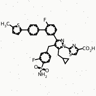 Cc1ccc(-c2ccc(-c3cc(-c4nn(-c5nc(C(=O)O)cs5)c(CC5CC5)c4Cc4ccc(S(N)(=O)=O)c(F)c4)ccc3F)cc2)s1